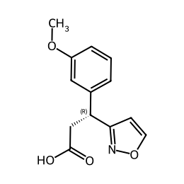 COc1cccc([C@@H](CC(=O)O)c2ccon2)c1